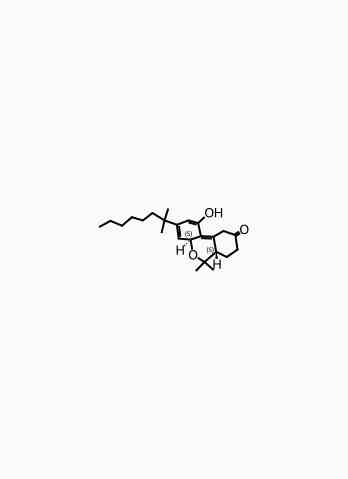 CCCCCCC(C)(C)C1=C[C@@H]2OC(C)(C)[C@H]3CCC(=O)CC3=C2C(O)=C1